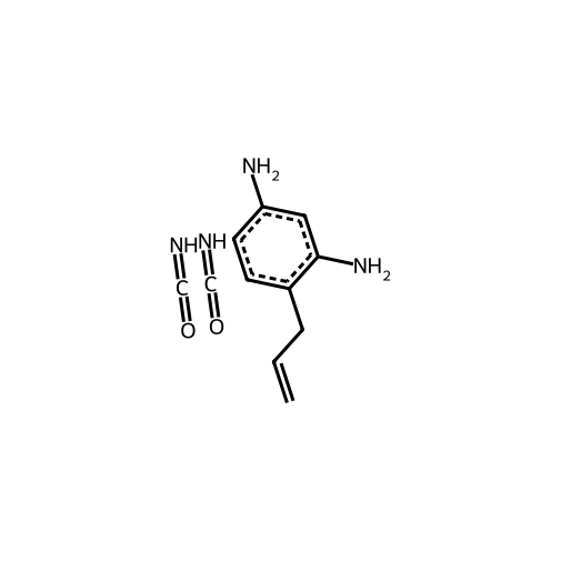 C=CCc1ccc(N)cc1N.N=C=O.N=C=O